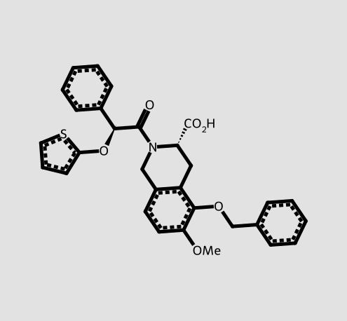 COc1ccc2c(c1OCc1ccccc1)C[C@@H](C(=O)O)N(C(=O)[C@@H](Oc1cccs1)c1ccccc1)C2